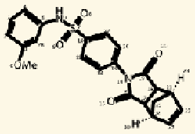 COc1cccc(NS(=O)(=O)c2ccc(N3C(=O)C4C(C3=O)[C@H]3C=C[C@@H]4C3)cc2)c1